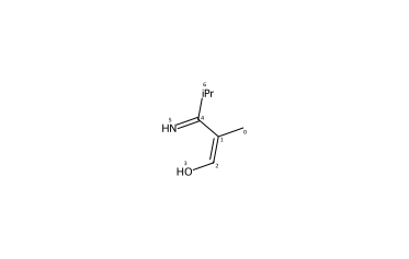 C/C(=C/O)C(=N)C(C)C